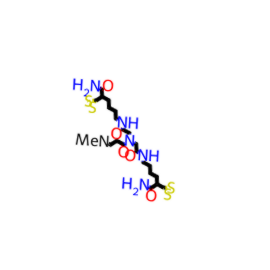 CNCCC(=O)N(CC(=O)NCCCCC(C(N)=O)C1SS1)CC(=O)NCCCCC(C(N)=O)C1SS1